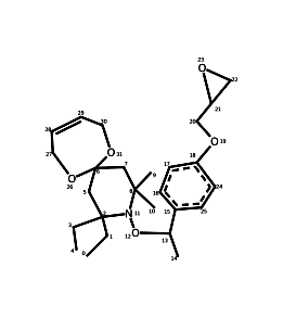 CCC1(CC)CC2(CC(C)(C)N1OC(C)c1ccc(OCC3CO3)cc1)OCC=CCO2